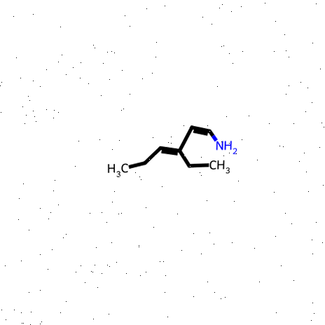 CC/C=C(/C=C\N)CC